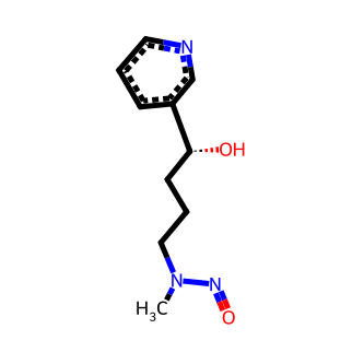 CN(CCC[C@@H](O)c1cccnc1)N=O